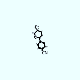 CCC1CCC(c2ccc(C#N)cc2)OC1